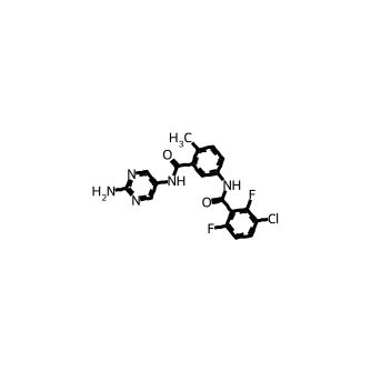 Cc1ccc(NC(=O)c2c(F)ccc(Cl)c2F)cc1C(=O)Nc1cnc(N)nc1